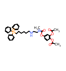 CC(=O)Oc1ccc(OC(=O)N(C)CCNCCCCCC[PH](c2ccccc2)(c2ccccc2)c2ccccc2)cc1OC(C)=O